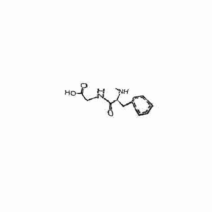 CN[C@@H](Cc1ccccc1)C(=O)NCC(=O)O